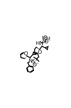 CC(C)(C)[S@@+]([O-])N[C@H](C1CC1)[C@@H]1CCC=C(CC(C)(C)[S@@+]([O-])N(Cc2ccccc2)[C@H](C2CC2)[C@@H]2CCC=CO2)O1